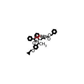 C[C@H](c1ccc(OCC2CC2)cc1)N(C(=O)C(c1ccccc1)c1ccccc1)[C@H](CCCNC(=O)OCc1ccccc1)C(N)=O